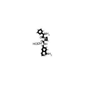 Cl.Cl.Nc1nccc2cc(CNC(=O)[C@@H]3CCN3C(=O)[C@H](N)C3CCCCC3)ccc12